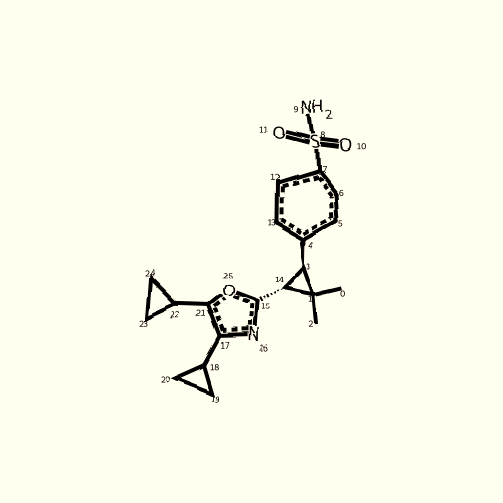 CC1(C)[C@H](c2ccc(S(N)(=O)=O)cc2)[C@H]1c1nc(C2CC2)c(C2CC2)o1